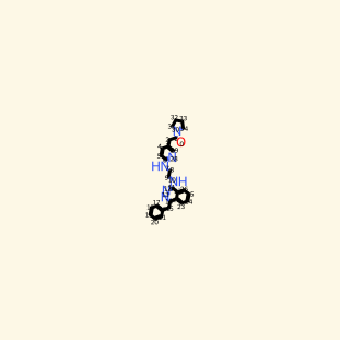 O=C(Cc1ccc(NCCNc2nnc(Cc3ccccc3)c3ccccc23)nc1)N1CCCC1